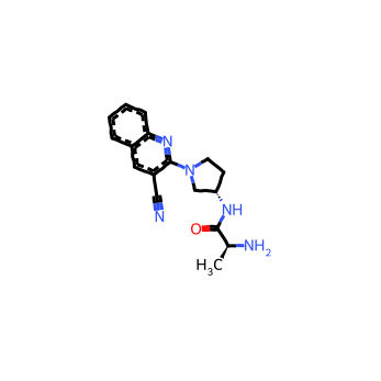 C[C@H](N)C(=O)N[C@H]1CCN(c2nc3ccccc3cc2C#N)C1